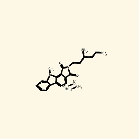 CS(=O)(=O)O.CS(=O)(=O)O.Cn1c2ccccc2c2ccc3c(c21)C(=O)N(CCC(N)CCN)C3=O